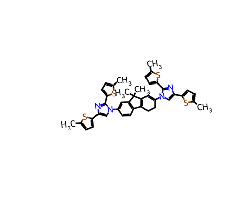 Cc1ccc(-c2cn(C3=CC4=C(CC3)c3ccc(-n5cc(-c6ccc(C)s6)nc5-c5ccc(C)s5)cc3C4(C)C)c(-c3ccc(C)s3)n2)s1